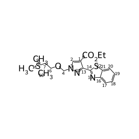 CCOC(=O)c1cn(COCCS(C)(C)C)nc1-c1nc2ccccc2s1